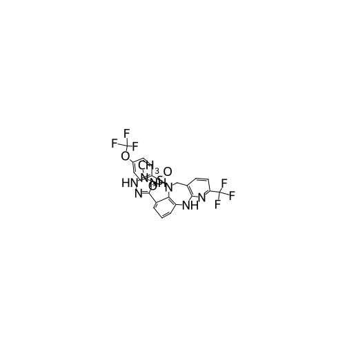 CN1NN=C(c2cccc3c2N(S(=O)(=O)c2ccc(OC(F)(F)F)cc2)Cc2ccc(C(F)(F)F)nc2N3)N1